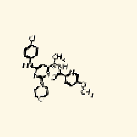 COc1ccc(C(=O)N[C@@H](C)c2cc(Nc3ccc(Cl)cc3)nc(N3CCOCC3)n2)nc1